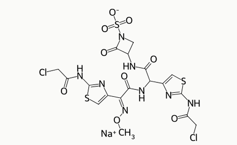 CON=C(C(=O)NC(C(=O)NC1CN(S(=O)(=O)[O-])C1=O)c1csc(NC(=O)CCl)n1)c1csc(NC(=O)CCl)n1.[Na+]